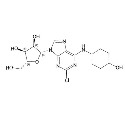 OC[C@H]1O[C@@H](n2cnc3c(NC4CCC(O)CC4)nc(Cl)nc32)[C@H](O)[C@@H]1O